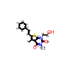 CCn1c(=O)c2c(C)c(C=Cc3ccccc3)sc2n(CCO)c1=O